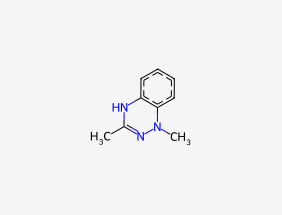 CC1=NN(C)c2ccccc2N1